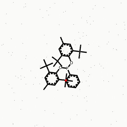 Cc1cc(C(C)(C)C)c(OP(Oc2c(C(C)(C)C)cc(C)cc2C(C)(C)C)c2ccccc2)c(C(C)(C)C)c1